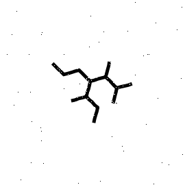 [CH2]C(C)C(C)C(CCC)C(C)CC